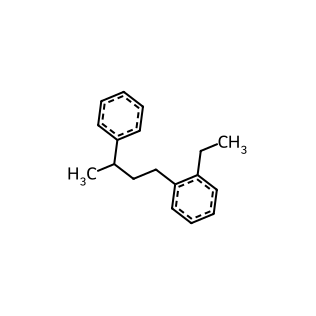 CCc1ccccc1CCC(C)c1ccccc1